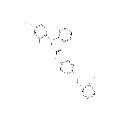 Cc1cnc(C(NC(=O)Cc2ccc(OCc3cccnc3C)cc2)c2ccccc2)c(C)c1